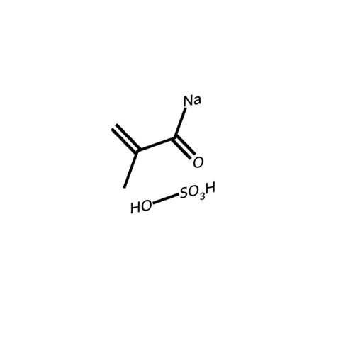 C=C(C)[C](=O)[Na].O=S(=O)(O)O